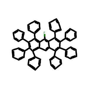 Fc1c2c(-c3ccccc3)c(-c3ccccc3)c(-c3ccccc3)c(-c3ccccc3)c2cc2c(-c3ccccc3)c(-c3ccccc3)c(-c3ccccc3)c(-c3ccccc3)c12